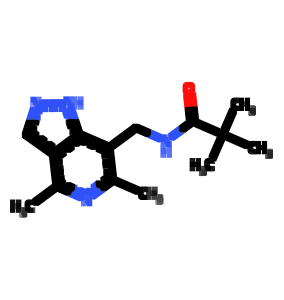 Cc1nc(C)c2cn[nH]c2c1CNC(=O)C(C)(C)C